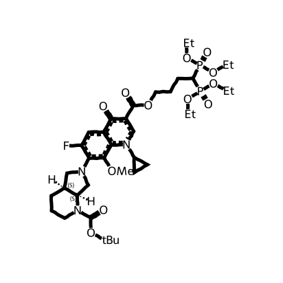 CCOP(=O)(OCC)C(CCCOC(=O)c1cn(C2CC2)c2c(OC)c(N3C[C@@H]4CCCN(C(=O)OC(C)(C)C)[C@@H]4C3)c(F)cc2c1=O)P(=O)(OCC)OCC